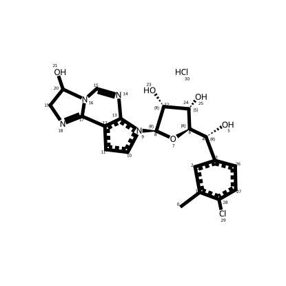 Cc1cc([C@@H](O)[C@H]2O[C@@H](n3ccc4c3N=CN3C4=NCC3O)[C@H](O)[C@@H]2O)ccc1Cl.Cl